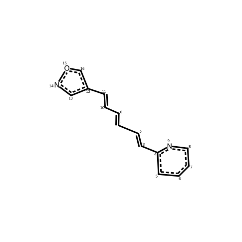 C(=C\C=C\c1ccccn1)/C=C/c1cnoc1